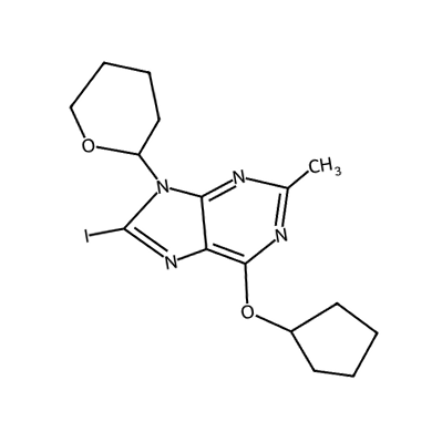 Cc1nc(OC2CCCC2)c2nc(I)n(C3CCCCO3)c2n1